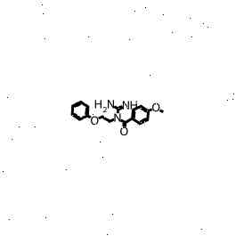 COc1ccc(C(=O)N(CCOc2ccccc2)C(=N)N)cc1